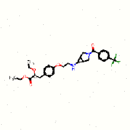 CCOC(=O)[C@H](Cc1ccc(OCCNC2C3CN(C(=O)c4ccc(C(F)(F)F)cc4)CC32)cc1)OCC